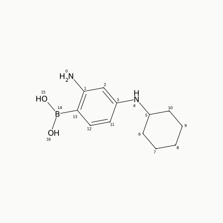 Nc1cc(NC2CCCCC2)ccc1B(O)O